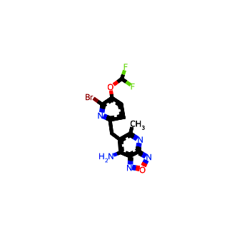 Cc1nc2nonc2c(N)c1Cc1ccc(OC(F)F)c(Br)n1